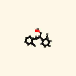 C=c1ccccc1=C=C(CO)c1ccccc1C